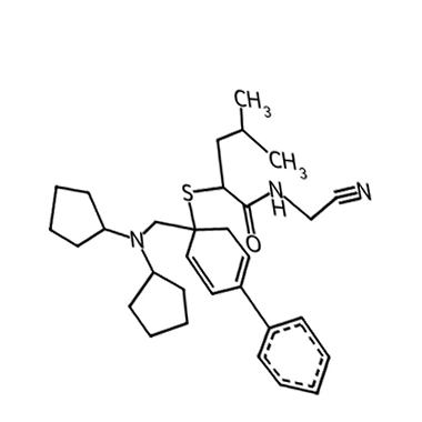 CC(C)CC(SC1(CN(C2CCCC2)C2CCCC2)C=CC(c2ccccc2)=CC1)C(=O)NCC#N